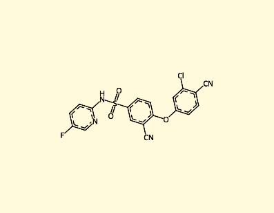 N#Cc1ccc(Oc2ccc(S(=O)(=O)Nc3ccc(F)cn3)cc2C#N)cc1Cl